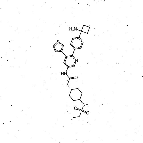 CCS(=O)(=O)N[C@H]1CC[C@H](CC(=O)Nc2cnc(-c3ccc(C4(N)CCC4)cc3)c(-c3ccsc3)c2)CC1